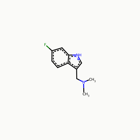 CN(C)Cc1c[nH]c2cc(F)ccc12